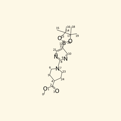 COC(=O)C1CCN(c2ncc(B3OC(C)(C)C(C)(C)O3)cn2)CC1